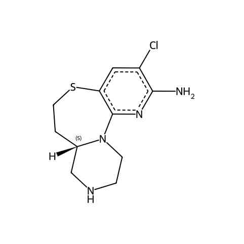 Nc1nc2c(cc1Cl)SCC[C@H]1CNCCN21